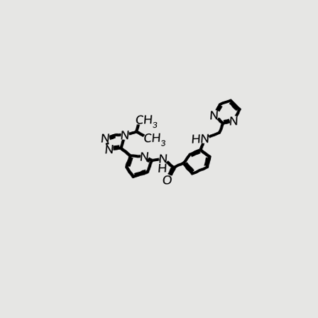 CC(C)n1cnnc1-c1cccc(NC(=O)c2cccc(NCc3ncccn3)c2)n1